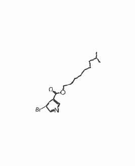 CC(C)CCCCCCCOC(=O)c1cncc(Br)c1